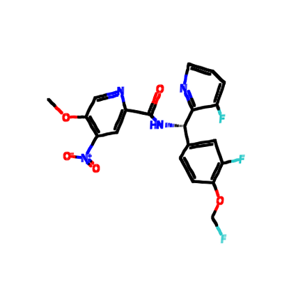 COc1cnc(C(=O)N[C@@H](c2ccc(OCF)c(F)c2)c2ncccc2F)cc1[N+](=O)[O-]